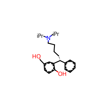 CC(C)N(CCCC[C@H](c1ccccc1)c1cc(CO)ccc1O)C(C)C